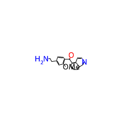 COc1cc(CCN)ccc1C(=O)c1cccc2cnccc12